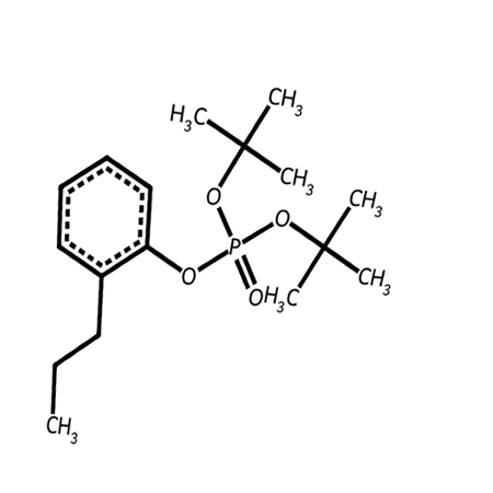 CCCc1ccccc1OP(=O)(OC(C)(C)C)OC(C)(C)C